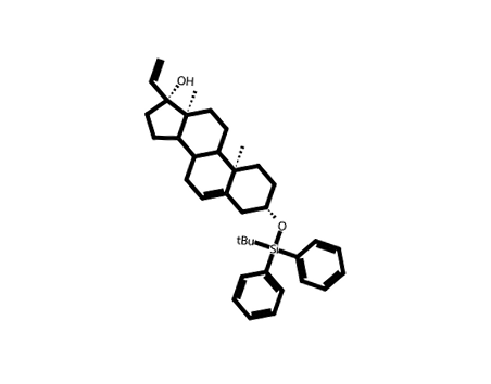 C=C[C@]1(O)CCC2C3CC=C4C[C@@H](O[Si](c5ccccc5)(c5ccccc5)C(C)(C)C)CC[C@]4(C)C3CC[C@@]21C